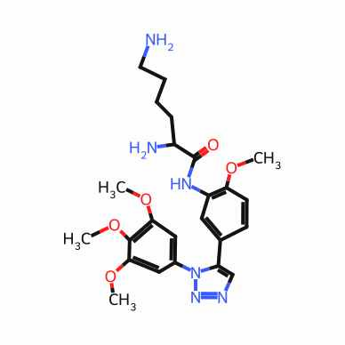 COc1ccc(-c2cnnn2-c2cc(OC)c(OC)c(OC)c2)cc1NC(=O)C(N)CCCCN